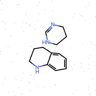 C1=NCCCN1.c1ccc2c(c1)CCCN2